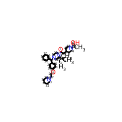 CB(O)N1CCC(CC(=O)N2CCN(C(c3ccccc3)c3ccc(OCCN4CCCCC4)cc3)C[C@@H]2C(C)(C)C)CC1